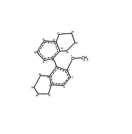 COc1ccc2c(c1-c1cccc3c1CCCC3)CCCC2